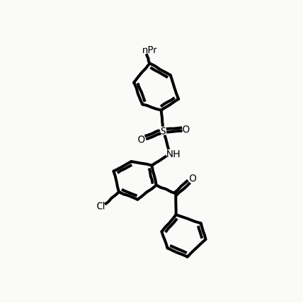 CCCc1ccc(S(=O)(=O)Nc2ccc(Cl)cc2C(=O)c2ccccc2)cc1